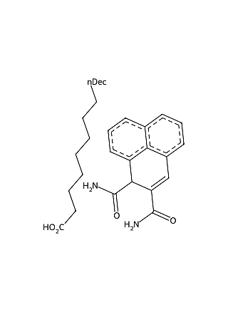 CCCCCCCCCCCCCCCCCC(=O)O.NC(=O)C1=Cc2cccc3cccc(c23)C1C(N)=O